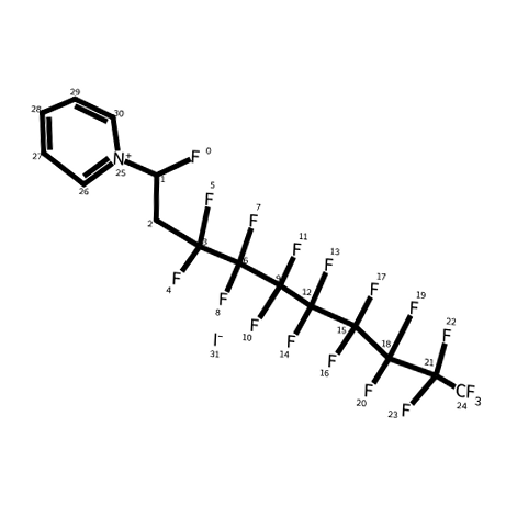 FC(CC(F)(F)C(F)(F)C(F)(F)C(F)(F)C(F)(F)C(F)(F)C(F)(F)C(F)(F)F)[n+]1ccccc1.[I-]